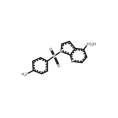 CCOC(=O)c1ccnc2c1ccn2S(=O)(=O)c1ccc(C)cc1